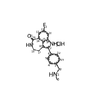 CNCc1ccc(-c2[nH]c3cc(F)cc4c3c2CCNC4=O)cc1.Cl